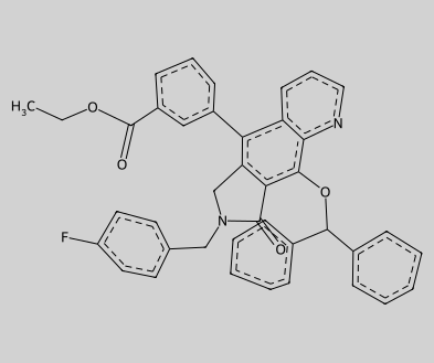 CCOC(=O)c1cccc(-c2c3c(c(OC(c4ccccc4)c4ccccc4)c4ncccc24)C(=O)N(Cc2ccc(F)cc2)C3)c1